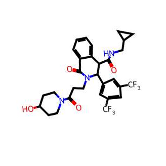 O=C(NCC1CC1)C1c2ccccc2C(=O)N(CCC(=O)N2CCC(O)CC2)C1c1cc(C(F)(F)F)cc(C(F)(F)F)c1